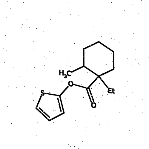 CCC1(C(=O)Oc2cccs2)CCCCC1C